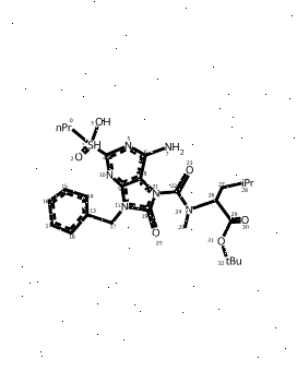 CCC[SH](=O)(O)c1nc(N)c2c(n1)n(Cc1ccccc1)c(=O)n2C(=O)N(C)C(CC(C)C)C(=O)OC(C)(C)C